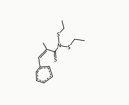 CCSN(SCC)C(=S)C(C)=Cc1ccccc1